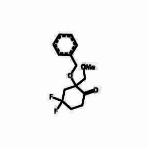 COCC1(OCc2ccccc2)CC(F)(F)CCC1=O